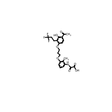 CC(=O)c1ccc(OCCCOc2cccc(NC(=O)C(=O)O)c2C)c(CCC(F)(F)F)c1O